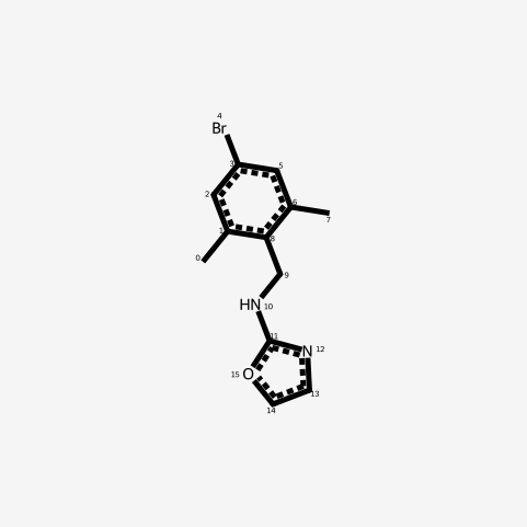 Cc1cc(Br)cc(C)c1CNc1ncco1